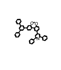 c1ccc(-c2cc(-c3ccccc3)cc(-c3ccc4c(c3)OCOc3ccc(-c5cc(-c6ccccc6)nc(-c6ccccc6)c5)cc3-4)c2)cc1